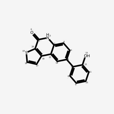 O=c1[nH]c2ccc(-c3ccccc3O)cc2c2ccsc12